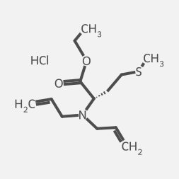 C=CCN(CC=C)[C@@H](CCSC)C(=O)OCC.Cl